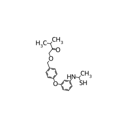 CC(S)Nc1cccc(Oc2ccc(COCC(=O)C(C)C)cc2)c1